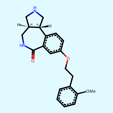 COc1ccccc1CCOc1ccc2c(c1)C(=O)NC[C@H]1CNC[C@H]21